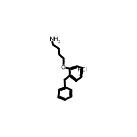 Cl.NCCCCOc1ccccc1Cc1ccccc1